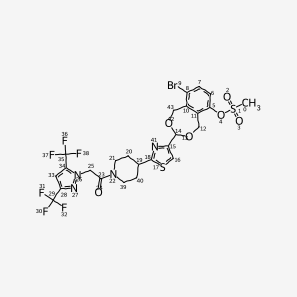 CS(=O)(=O)Oc1ccc(Br)c2c1COC(c1csc(C3CCN(C(=O)Cn4nc(C(F)(F)F)cc4C(F)(F)F)CC3)n1)OC2